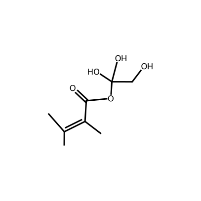 CC(C)=C(C)C(=O)OC(O)(O)CO